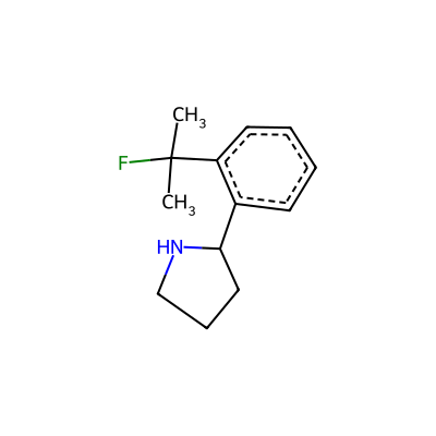 CC(C)(F)c1ccccc1C1CCCN1